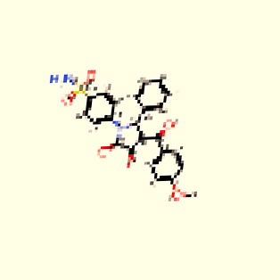 COc1ccc(C(=O)C2C(=O)C(=O)N(c3ccc(S(N)(=O)=O)cc3)C2c2ccccc2)cc1